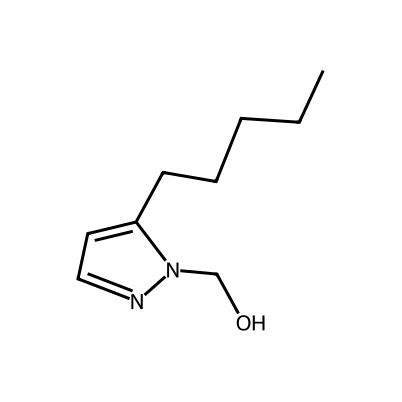 CCCCCc1ccnn1CO